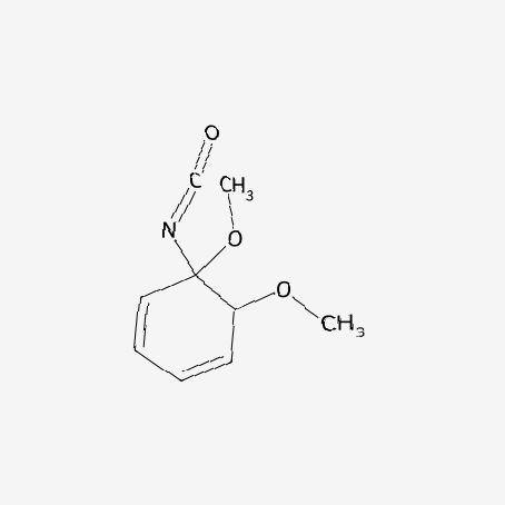 COC1C=CC=CC1(N=C=O)OC